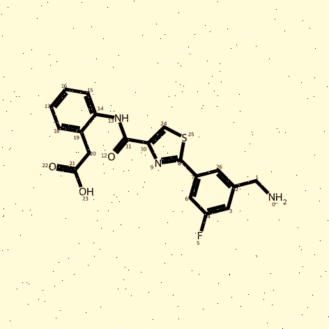 NCc1cc(F)cc(-c2nc(C(=O)Nc3ccccc3CC(=O)O)cs2)c1